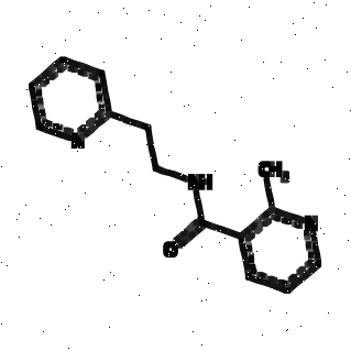 Cc1ncccc1C(=O)NCCc1ccccn1